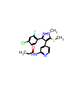 CCC(=O)Nc1cc(-c2c(-c3ccc(Cl)cc3F)nn(C)c2SC)ccn1